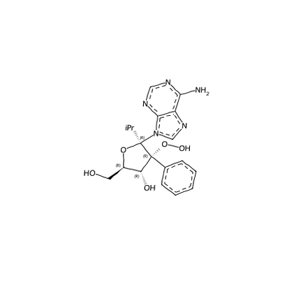 CC(C)[C@@]1(n2cnc3c(N)ncnc32)O[C@H](CO)[C@@H](O)[C@]1(OO)c1ccccc1